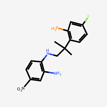 CC(C)(CNc1ccc([N+](=O)[O-])cc1N)c1ccc(F)cc1P